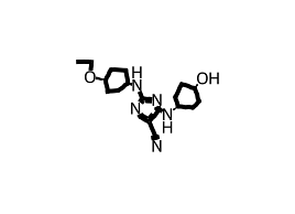 CCO[C@H]1CC[C@@H](Nc2ncc(C#N)c(N[C@H]3CC[C@@H](O)CC3)n2)CC1